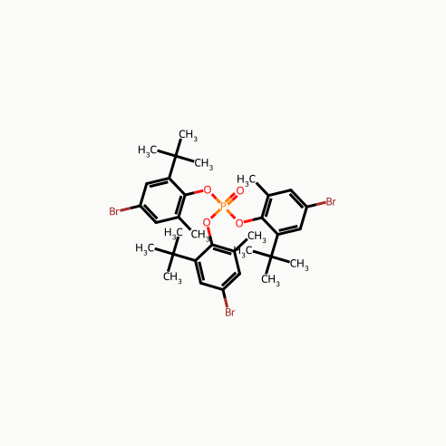 Cc1cc(Br)cc(C(C)(C)C)c1OP(=O)(Oc1c(C)cc(Br)cc1C(C)(C)C)Oc1c(C)cc(Br)cc1C(C)(C)C